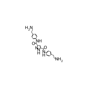 NCCc1ccc(NC(=O)c2cc(C(=O)Nc3ccc(CCN)cc3)[nH]n2)cc1